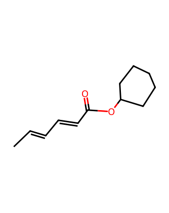 CC=CC=CC(=O)OC1CCCCC1